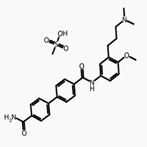 COc1ccc(NC(=O)c2ccc(-c3ccc(C(N)=O)cc3)cc2)cc1CCCN(C)C.CS(=O)(=O)O